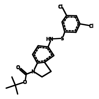 CC(C)(C)OC(=O)N1CCc2cc(NSc3cc(Cl)cc(Cl)c3)ccc21